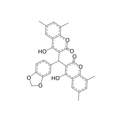 Cc1cc(C)c2oc(=O)c(C(c3ccc4c(c3)OCO4)c3c(O)c4cc(C)cc(C)c4oc3=O)c(O)c2c1